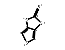 S=c1sc2cscc2s1